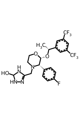 C[C@@H](O[C@H]1OCCN(CC2=NNC(O)N2)[C@H]1c1ccc(F)cc1)c1cc(C(F)(F)F)cc(C(F)(F)F)c1